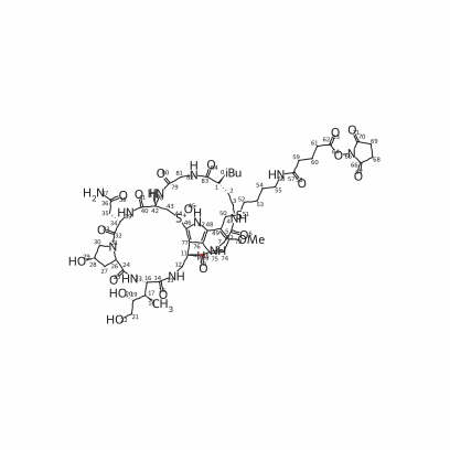 CC[C@H](C)[C@@H]1CCNC(=O)CNC(=O)[C@@H]2CNC(=O)[C@H]([C@@H](C)[C@@H](O)CO)NC(=O)C3C[C@@H](O)CN3C(=O)[C@H](CC(N)=O)NC(=O)[C@@H](C[S+]([O-])c3[nH]c4c(CSCCCCNC(=O)CCCC(=O)ON5C(=O)CCC5=O)c(OC)ccc4c32)NC(=O)CNC1=O